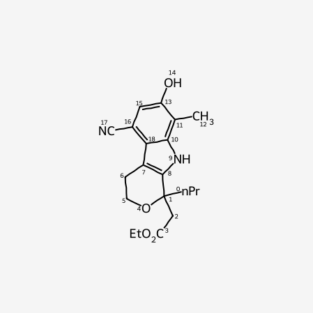 CCCC1(CC(=O)OCC)OCCc2c1[nH]c1c(C)c(O)cc(C#N)c21